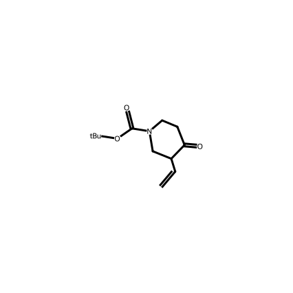 C=CC1CN(C(=O)OC(C)(C)C)CCC1=O